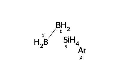 BB.[Ar].[SiH4]